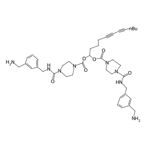 CCCCC#CC#CCCCC(OC(=O)N1CCN(C(=O)NCc2cccc(CN)c2)CC1)OC(=O)N1CCN(C(=O)NCc2cccc(CN)c2)CC1